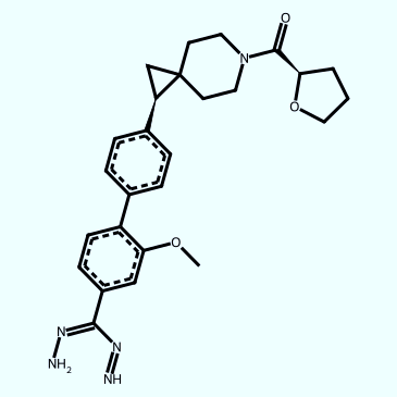 COc1cc(/C(N=N)=N/N)ccc1-c1ccc([C@H]2CC23CCN(C(=O)[C@H]2CCCO2)CC3)cc1